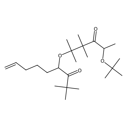 C=CCCCC(OC(C)(C)C(C)(C)C(=O)C(C)OC(C)(C)C)C(=O)C(C)(C)C